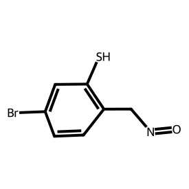 O=NCc1ccc(Br)cc1S